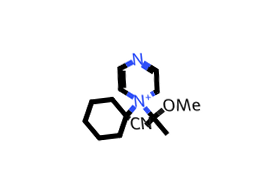 COC(C)(C)[N+]1(C2(C#N)CCCCC2)C=CN=CC1